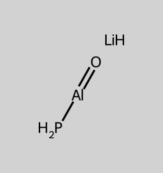 [LiH].[O]=[Al][PH2]